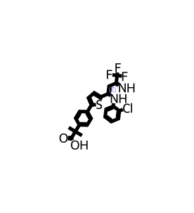 CC(C)(C(=O)O)c1ccc(-c2ccc(/C(=C/C(=N)C(F)(F)F)Nc3ccccc3Cl)s2)cc1